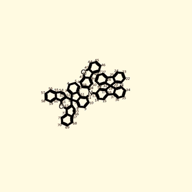 C1=C2C(=CCC1)C1(c3cccc(N(c4ccc5c(c4)C4(c6ccccc6-c6ccccc64)c4ccccc4-5)c4ccc5oc6ccccc6c5c4)c32)c2ccc3ccccc3c2Oc2c1ccc1ccccc21